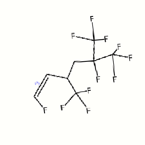 F/C=C\C(CC(F)(C(F)(F)F)C(F)(F)F)C(F)(F)F